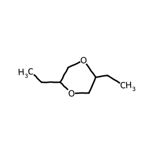 CCC1COC(CC)CO1